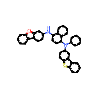 c1ccc(N(c2ccc3sc4ccccc4c3c2)c2ccc(Nc3ccc4c(c3)oc3ccccc34)c3ccccc23)cc1